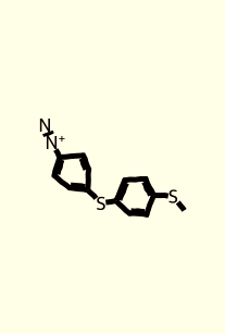 CSc1ccc(Sc2ccc([N+]#N)cc2)cc1